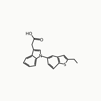 CCc1cc2cc(-n3cc(CC(=O)O)c4ccccc43)ccc2s1